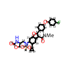 CNC(=O)c1c(-c2ccc(Oc3ccc(F)cc3)cc2)oc2cc(N(CC3COC(=O)N3)S(C)(=O)=O)c(C3CC3)cc12